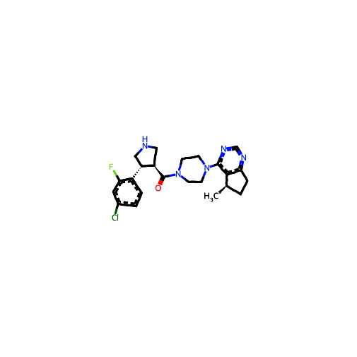 C[C@@H]1CCc2ncnc(N3CCN(C(=O)[C@@H]4CNC[C@H]4c4ccc(Cl)cc4F)CC3)c21